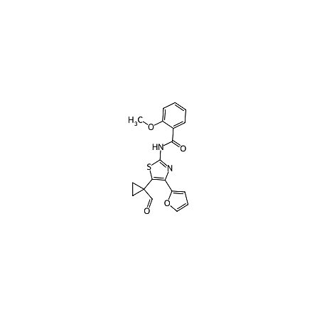 COc1ccccc1C(=O)Nc1nc(-c2ccco2)c(C2(C=O)CC2)s1